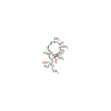 CCO[C@@](C)(CO)C[C@H]1C=C[C@H]2[C@H](S)/C=C\C=C\[C@H](C)CC(=O)[C@@H](C)C(=O)C(Cl)(Cl)C(=O)[C@H]2[C@]1(O)CC